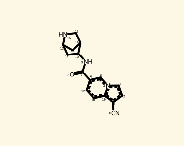 N#Cc1ccn2cc(C(=O)NC3CC4CC3CN4)ccc12